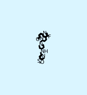 O=c1ccc2ncc(F)c3c2n1C(CN1CCC(NCc2cc4c(cn2)OCS4)CC1)CC3